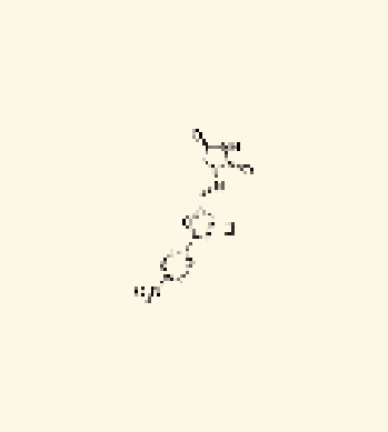 Cl.O=C1CN(N=Cc2ccc(-c3ccc([N+](=O)[O-])cc3)o2)C(=O)N1